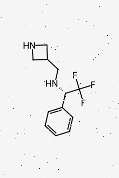 FC(F)(F)[C@@H](NCC1CNC1)c1ccccc1